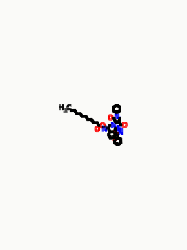 CCCCCCCCCCCC(=O)O/N=C(\Cn1c2c(c(=O)n3nc(-c4ccccc4)cc13)CN(C1CCCCC1)C2=O)c1ccccc1